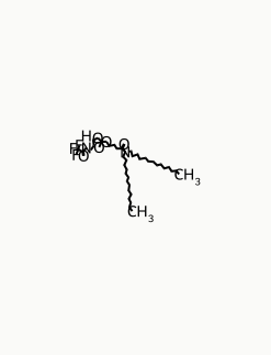 CCCCCCCCCCCCCCN(CCCCCCCCCCCCCC)C(=O)CCCOC1OCC(CNC(=O)C(F)(F)F)O1